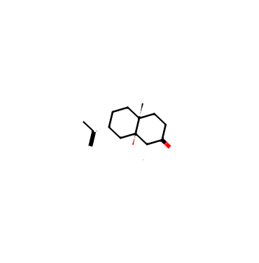 C=C(C)[C@@H]1CC[C@]2(C)CCC(=O)[C@H](C)[C@]2(O)C1